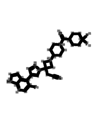 N#CCC1(n2cc(-c3c(F)cnc4[nH]ccc34)cn2)CN(C2CCN(C(=O)C3CCC(F)(F)CC3)CC2)C1